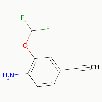 C#Cc1ccc(N)c(OC(F)F)c1